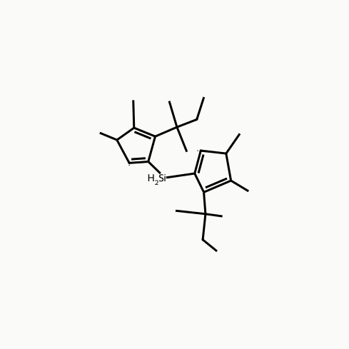 CCC(C)(C)C1=C(C)C(C)[C]=C1[SiH2]C1=[C]C(C)C(C)=C1C(C)(C)CC